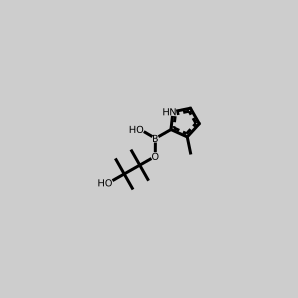 Cc1cc[nH]c1B(O)OC(C)(C)C(C)(C)O